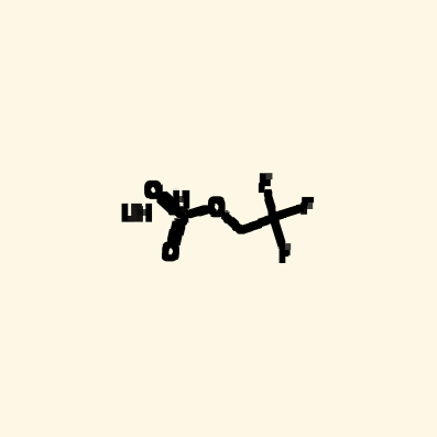 O=[SH](=O)OCC(F)(F)F.[LiH]